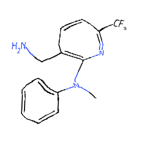 CN(c1ccccc1)c1nc(C(F)(F)F)ccc1CN